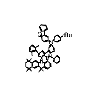 Cc1cccc(C)c1-c1cc2c3c(c1)N1c4cc5c(cc4C(C)(C)c4cccc(c41)B3N(c1ccccc1)c1ccc(N(c3ccc(C(C)(C)C)cc3)c3ccc4oc6ccccc6c4c3)cc1-2)C(C)(C)CCC5(C)C